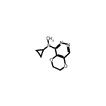 CN(c1nncc2c1OCCO2)C1CC1